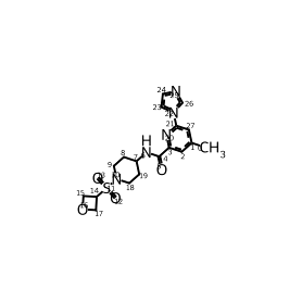 Cc1cc(C(=O)NC2CCN(S(=O)(=O)C3COC3)CC2)nc(-n2ccnc2)c1